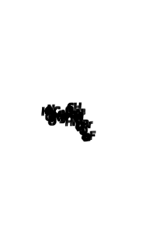 CCC(NC(Cc1ccccn1)=S(=O)=O)c1nc(-c2cc3c(Nc4ccc(OCc5cccc(F)c5)c(Br)c4)ncnc3cc2OC)cs1